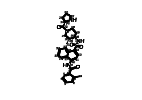 Cc1ccccc1C(=O)Nc1ccc(S(=O)(=O)N[C@H]2CCN(C(=O)[C@H]3CCCN3)C[C@H]2C)c2cccnc12